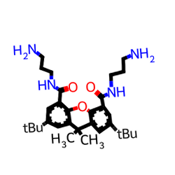 CC(C)(C)c1cc(C(=O)NCCCN)c2c(c1)C(C)(C)c1cc(C(C)(C)C)cc(C(=O)NCCCN)c1O2